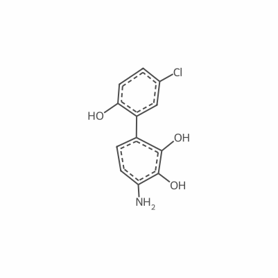 Nc1ccc(-c2cc(Cl)ccc2O)c(O)c1O